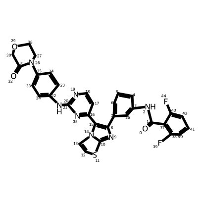 O=C(Nc1cccc(-c2nc3sccn3c2-c2ccnc(Nc3ccc(N4CCOCC4=O)cc3)n2)c1)c1c(F)cccc1F